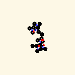 O=c1c2c(ccc3c2c2ccccc2n3-c2ccccc2-c2cccc(-c3cccc(-c4ccc5c(c4)c4cc6c7ccccc7n(-c7ccccc7)c6c6c7ccc8c9ccccc9n(-c9ccccc9)c8c7c(=O)n5c46)c3)c2)c2c3c(cc4c5ccccc5n1c42)c1ccccc1n3-c1cccc(-c2ccccc2)c1